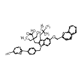 CCC(CC)(Cc1c(SC(C)(C)C)c2cc(OCc3ccc4ccccc4n3)ccc2n1Cc1ccc(-c2ncc(O)cn2)cc1)C(=O)O